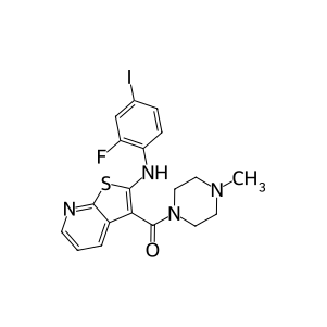 CN1CCN(C(=O)c2c(Nc3ccc(I)cc3F)sc3ncccc23)CC1